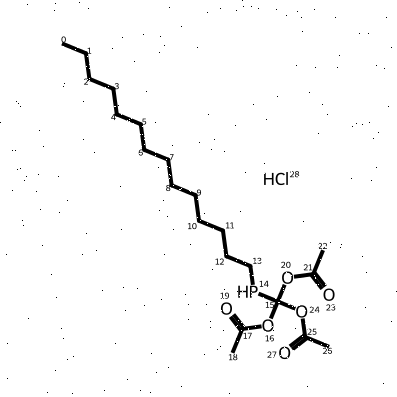 CCCCCCCCCCCCCCPC(OC(C)=O)(OC(C)=O)OC(C)=O.Cl